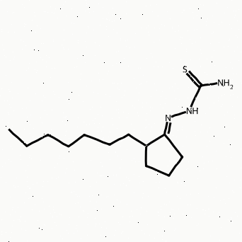 CCCCCCCC1CCC/C1=N\NC(N)=S